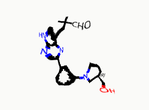 CC(C)(C=O)Cc1c[nH]c2ncc(-c3cccc(N4CC[C@@H](CO)C4)c3)nc12